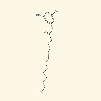 CCCCCCCCCCCCC(=O)Oc1cc(O)cc(O)c1